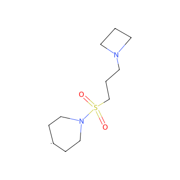 O=S(=O)(CCCN1CCC1)N1CC[CH]CC1